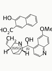 C=C[C@@H]1CN2CCC1C[C@H]2[C@@H](O)c1ccnc2ccc(OC)cc12.O=C(O)c1cc2ccccc2cc1O